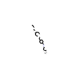 Cn1ncc(CC(=O)/N=C/C2CCC(CCN3CCc4nc(OCC(C)(F)F)sc4CC3)CC2)n1